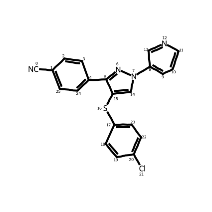 N#Cc1ccc(-c2nn(-c3cccnc3)cc2Sc2ccc(Cl)cc2)cc1